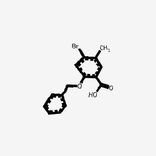 Cc1cc(C(=O)O)c(OCc2ccccc2)cc1Br